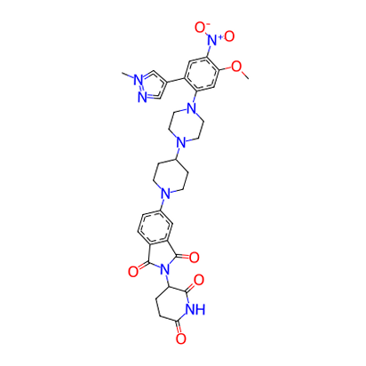 COc1cc(N2CCN(C3CCN(c4ccc5c(c4)C(=O)N(C4CCC(=O)NC4=O)C5=O)CC3)CC2)c(-c2cnn(C)c2)cc1[N+](=O)[O-]